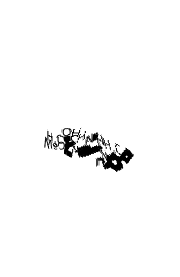 CO[C@]1(C(C)(C)O)CCN(c2cc(-n3ncc4ccc(C5(C)CCC5)cc43)ncn2)C1